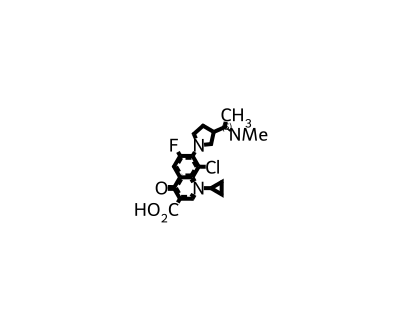 CN[C@@H](C)C1CCN(c2c(F)cc3c(=O)c(C(=O)O)cn(C4CC4)c3c2Cl)C1